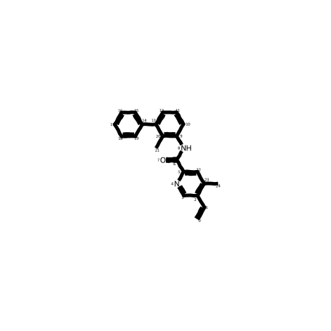 C=Cc1cnc(C(=O)Nc2cccc(-c3ccccc3)c2C)cc1C